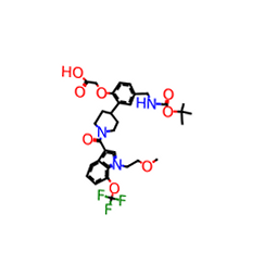 COCCn1cc(C(=O)N2CCC(c3cc(CNC(=O)OC(C)(C)C)ccc3OCC(=O)O)CC2)c2cccc(OC(F)(F)F)c21